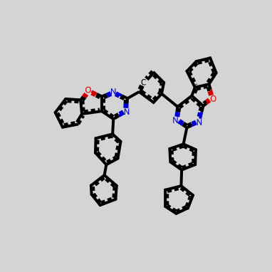 c1ccc(-c2ccc(-c3nc(-c4cccc(-c5nc(-c6ccc(-c7ccccc7)cc6)c6c(n5)oc5ccccc56)c4)c4c(n3)oc3ccccc34)cc2)cc1